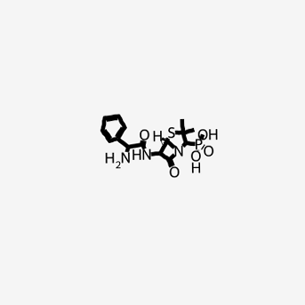 CC1(C)S[C@H]2C(NC(=O)C(N)c3ccccc3)C(=O)N2C1P(=O)(O)O